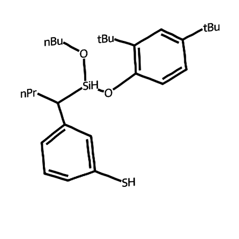 CCCCO[SiH](Oc1ccc(C(C)(C)C)cc1C(C)(C)C)C(CCC)c1cccc(S)c1